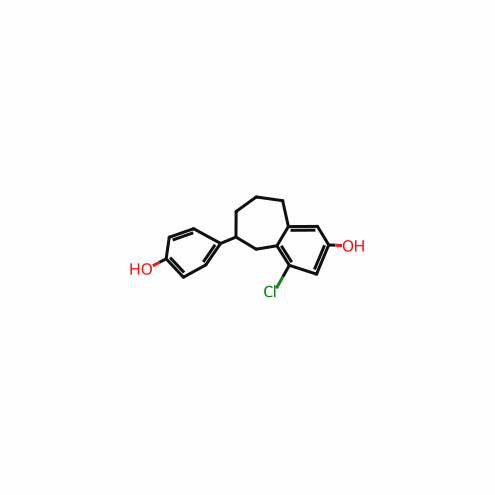 Oc1ccc(C2CCCc3cc(O)cc(Cl)c3C2)cc1